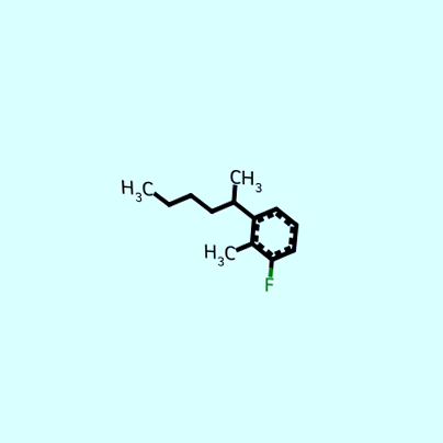 CCCCC(C)c1cccc(F)c1C